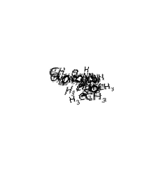 COCCN1CCC(N2Cc3cc(OC(C)C)c(Nc4nc(Nc5cc(C)ccc5SC(C)C)c5cn[nH]c5n4)cc3C2=O)CC1